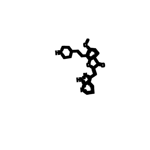 COc1ccc2c(c1CCC1CCNCC1)OC(=Cc1n[nH]c3ncccc13)C2=O